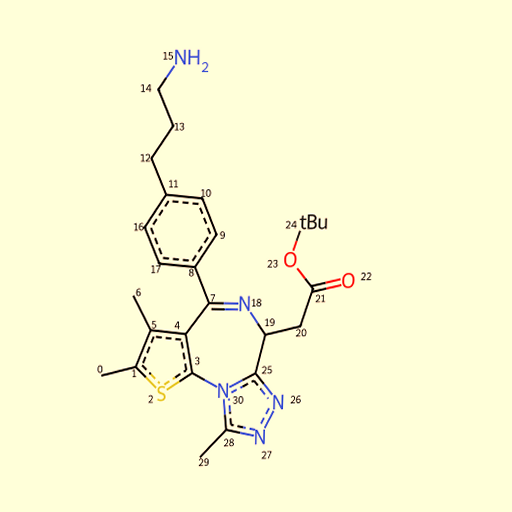 Cc1sc2c(c1C)C(c1ccc(CCCN)cc1)=NC(CC(=O)OC(C)(C)C)c1nnc(C)n1-2